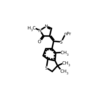 CCCSC(=C1C=NN(C)C1=O)c1ccc2c(c1C)C(C)(C)CS2